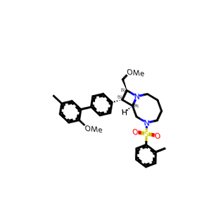 COC[C@@H]1[C@@H](c2ccc(-c3cc(C)ccc3OC)cc2)[C@@H]2CN(S(=O)(=O)c3ccccc3C)CCCCN12